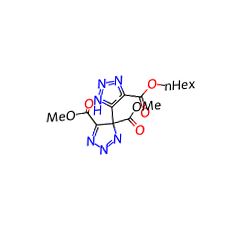 CCCCCCOC(=O)c1nn[nH]c1C1(C(=O)OC)N=NN=C1C(=O)OC